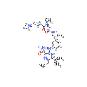 CCc1nc(C(N)=O)c(Nc2cccc([C@@H](C)CNC(=O)CN(C)C(=O)/C=C/CN3CCC3)c2)nc1C(C)C